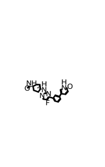 NC(=O)[C@H]1CC[C@H](Nc2ncc(F)c(-c3cccc(-c4ccc(=O)[nH]c4)c3)n2)CC1